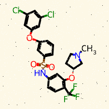 CN1CC[C@@H](Oc2cc(NS(=O)(=O)c3cccc(Oc4cc(Cl)cc(Cl)c4)c3)ccc2C(F)(F)F)C1